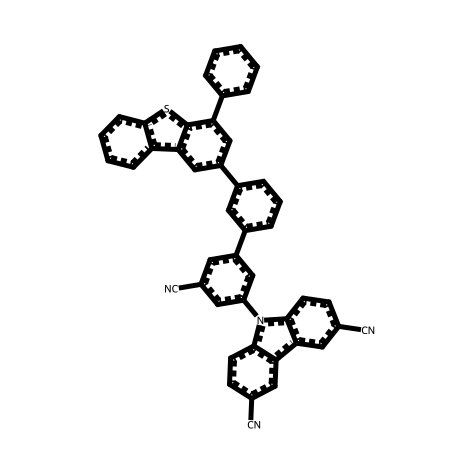 N#Cc1cc(-c2cccc(-c3cc(-c4ccccc4)c4sc5ccccc5c4c3)c2)cc(-n2c3ccc(C#N)cc3c3cc(C#N)ccc32)c1